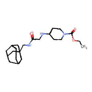 CCOC(=O)N1CCC(NCC(=O)NCC23CC4CC(CC(C4)C2)C3)CC1